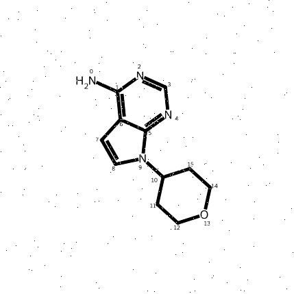 Nc1ncnc2c1ccn2C1CCOCC1